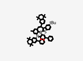 Cc1cc2c3c(c1)N(c1cc4c(cc1-c1ccccc1)C(C)(C)CCC4(C)C)c1ccc(-c4ccccc4)cc1B3c1sc3ccc(C(C)(C)C)cc3c1C(c1ccc3c(c1)C(C)(C)CCC3(C)C)=C2